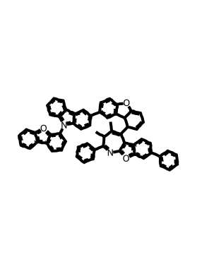 CC1=C(C2C=CC=C3Oc4ccc(-c5ccc6c(c5)c5ccccc5n6-c5cccc6c5oc5ccccc56)cc4C32)c2c(oc3cc(-c4ccccc4)ccc23)N=C(c2ccccc2)C1C